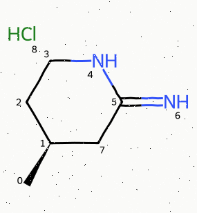 C[C@H]1CCNC(=N)C1.Cl